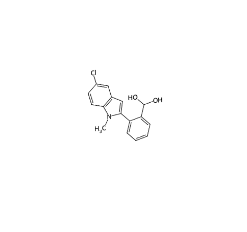 Cn1c(-c2ccccc2C(O)O)cc2cc(Cl)ccc21